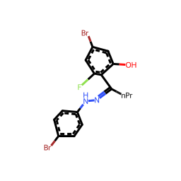 CCC/C(=N/Nc1ccc(Br)cc1)c1c(O)cc(Br)cc1F